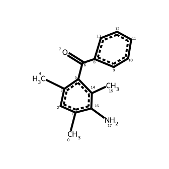 Cc1cc(C)c(C(=O)c2ccccc2)c(C)c1N